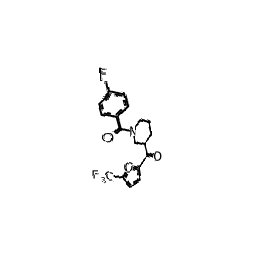 O=C(c1ccc(C(F)(F)F)o1)C1CCCN(C(=O)c2ccc(F)cc2)C1